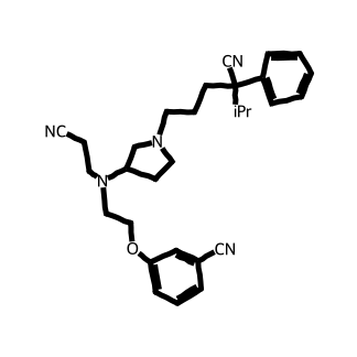 CC(C)C(C#N)(CCCN1CCC(N(CCC#N)CCOc2cccc(C#N)c2)C1)c1ccccc1